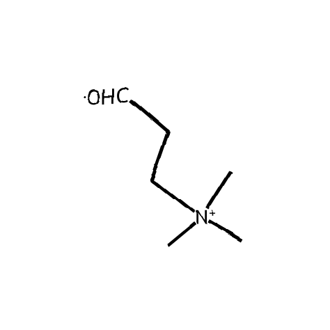 C[N+](C)(C)CC[C]=O